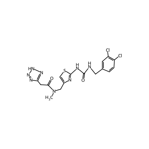 CN(Cc1csc(NC(=O)NCc2ccc(Cl)c(Cl)c2)n1)C(=O)Cc1nn[nH]n1